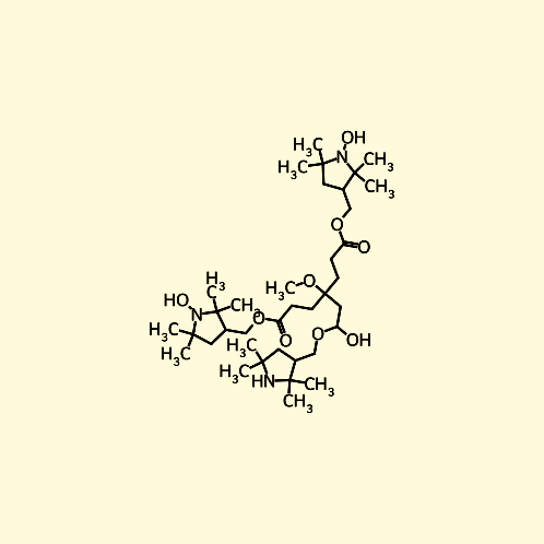 COC(CCC(=O)OCC1CC(C)(C)N(O)C1(C)C)(CCC(=O)OCC1CC(C)(C)N(O)C1(C)C)CC(O)OCC1CC(C)(C)NC1(C)C